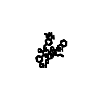 C=CCN(C(=O)NCc1ccccc1)N1CC(=O)N2[C@@H](c3cccc(O)c3)C(=O)N(Cc3ccc4nnn(C)c4c3)C[C@@H]21